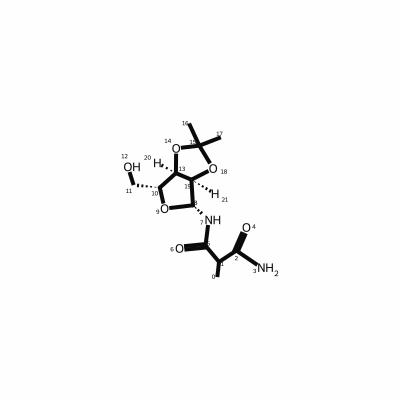 CC(C(N)=O)C(=O)N[C@@H]1O[C@H](CO)[C@H]2OC(C)(C)O[C@H]21